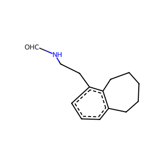 O=CNCCc1cccc2c1CCCCC2